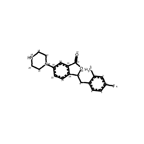 Cc1cc(F)ccc1CC1OC(=O)c2cc(N3CCNCC3)ccc21